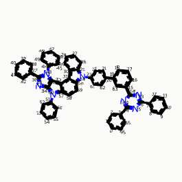 c1ccc(-c2nc(-c3ccccc3)nc(-c3cccc(-c4ccc(-n5c6ccccc6c6c7c8c(nc(-c9ccccc9)n8-c8ccccc8)n(-c8ccccc8)c7ccc65)cc4)c3)n2)cc1